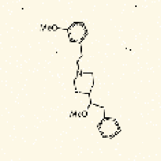 COc1cccc(CCN2CCC(C(Cc3ccccc3)OC)CC2)c1